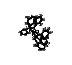 O=C(OC(Cc1ccccc1)(Cc1ccccc1)c1ccccc1)OC(Cc1ccccc1)(Cc1ccccc1)c1ccccc1